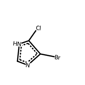 Clc1[nH]cnc1Br